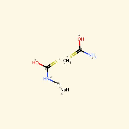 C.CCNC(O)=S.NC(O)=S.[NaH]